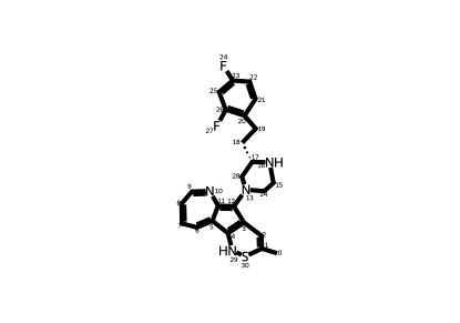 CC1=Cc2c(c3ccccnc-3c2N2CCN[C@@H](CCc3ccc(F)cc3F)C2)NS1